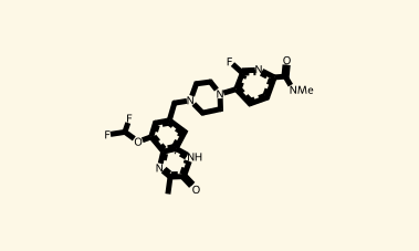 CNC(=O)c1ccc(N2CCN(Cc3cc(OC(F)F)c4nc(C)c(=O)[nH]c4c3)CC2)c(F)n1